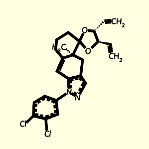 C=C[C@H]1OC2(CCCC3=Cc4c(cnn4-c4ccc(Cl)c(Cl)c4)C[C@@]32C)O[C@@H]1C=C